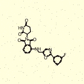 O=C1CCC(N2C(=O)c3cccc(NCc4cnc(-c5cccc(F)c5)o4)c3C2=O)C(=O)N1